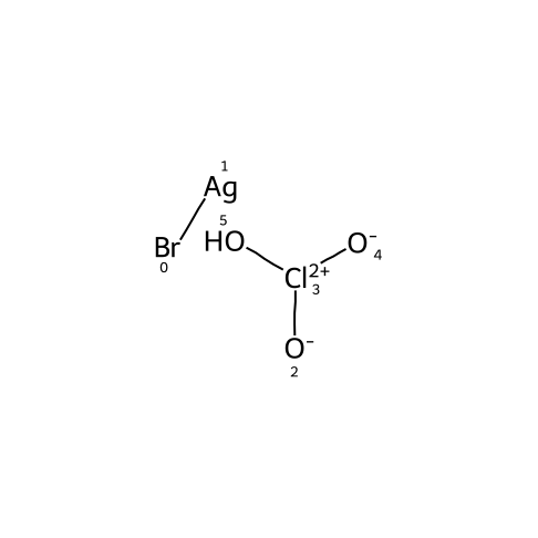 [Br][Ag].[O-][Cl+2]([O-])O